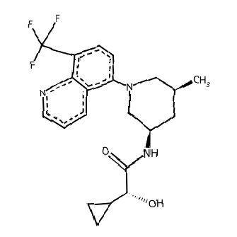 C[C@H]1C[C@@H](NC(=O)[C@H](O)C2CC2)CN(c2ccc(C(F)(F)F)c3ncccc23)C1